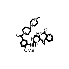 COc1ccc(C(=O)N2CCC(N3CCN(C)CC3)CC2)cc1Nc1ncc2c(n1)N(C)c1ccccc1C(=O)N2